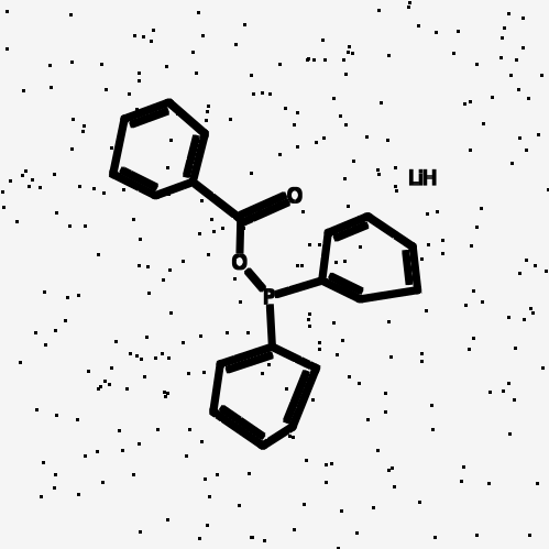 O=C(OP(c1ccccc1)c1ccccc1)c1ccccc1.[LiH]